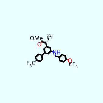 COC(=O)[C@H](CC(C)C)c1cc(NCc2ccc(OC(F)(F)F)cc2)cc(-c2ccc(C(F)(F)F)cc2)c1